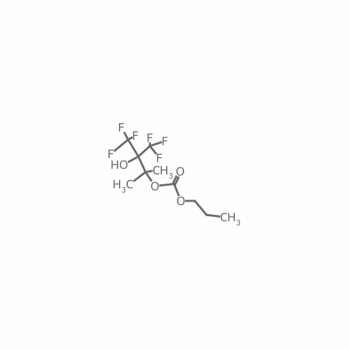 CCCOC(=O)OC(C)(C)C(O)(C(F)(F)F)C(F)(F)F